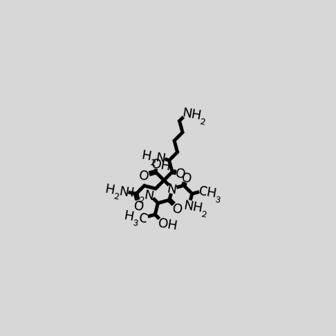 CC(N)C(=O)N(C(=O)C(N)C(C)O)C(CCC(N)=O)(C(=O)O)C(=O)C(N)CCCCN